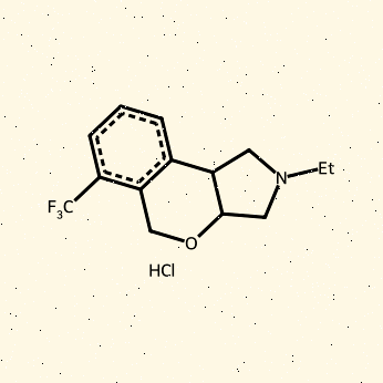 CCN1CC2OCc3c(cccc3C(F)(F)F)C2C1.Cl